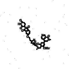 COc1cc(-c2cn(C)c(=O)c3cnccc23)cc(OC)c1CN(C)CCn1cc(CCOc2ccc3c(c2)C(=O)N(C2CCC(=O)NC2=O)C3=O)nn1